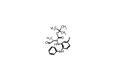 C[C@@H](C=O)N(Nc1cc(F)ccc1Nc1ccccc1)C(=O)OC(C)(C)C